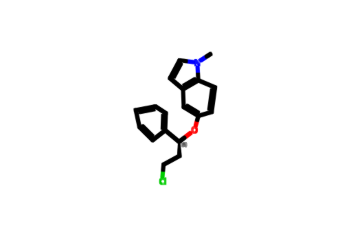 Cn1ccc2cc(O[C@@H](CCCl)c3ccccc3)ccc21